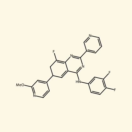 COc1cc(C2C=c3c(Nc4ccc(F)c(F)c4)nc(-c4cccnc4)nc3=C(F)C2)ccn1